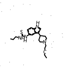 CCCCCN1CCC(c2c[nH]c3ccc(NC(=S)NCCC)cc23)CC1